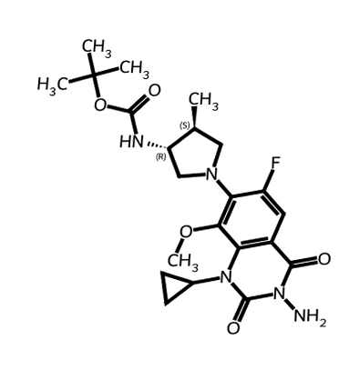 COc1c(N2C[C@H](NC(=O)OC(C)(C)C)[C@@H](C)C2)c(F)cc2c(=O)n(N)c(=O)n(C3CC3)c12